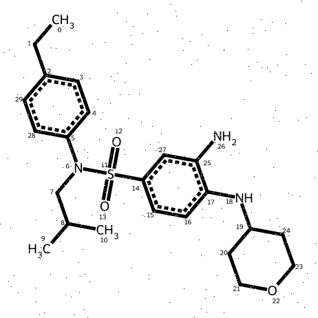 CCc1ccc(N(CC(C)C)S(=O)(=O)c2ccc(NC3CCOCC3)c(N)c2)cc1